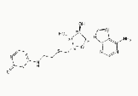 Nc1ncnc2c1ncn2[C@@H]1O[C@H](CSCCNc2ccnc(=O)[nH]2)[C@H](O)[C@H]1O